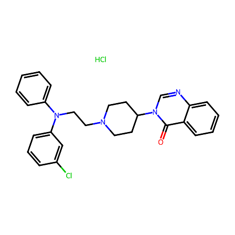 Cl.O=c1c2ccccc2ncn1C1CCN(CCN(c2ccccc2)c2cccc(Cl)c2)CC1